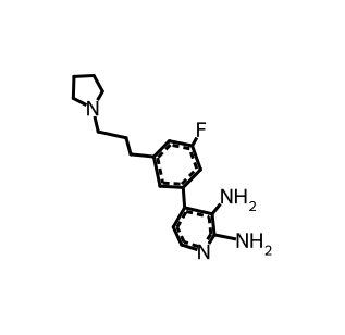 Nc1nccc(-c2cc(F)cc(CCCN3CCCC3)c2)c1N